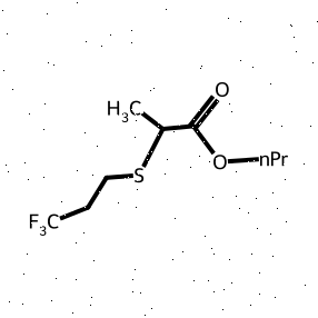 CCCOC(=O)C(C)SCCC(F)(F)F